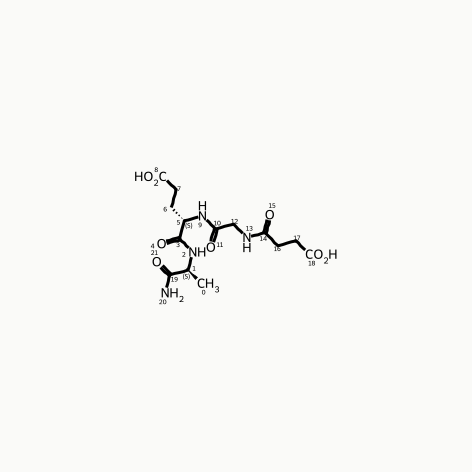 C[C@H](NC(=O)[C@H](CCC(=O)O)NC(=O)CNC(=O)CCC(=O)O)C(N)=O